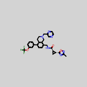 Cc1noc([C@@H]2C[C@H]2C(=O)NCc2ccc(-c3cccc(OC(F)(F)F)c3)c3c2CN(Cc2cnccn2)CC3)n1